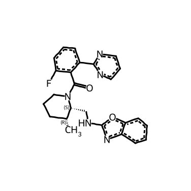 C[C@@H]1CCCN(C(=O)c2c(F)cccc2-c2ncccn2)[C@@H]1CNc1nc2ccccc2o1